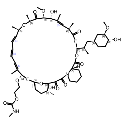 CNC(=O)OCCO[C@H]1C[C@@H]2CC[C@@H](C)[C@@](O)(O2)C(=O)C(=O)N2CCCC[C@H]2C(=O)O[C@H]([C@H](C)C[C@@H]2CC[C@@H](O)[C@H](OC)C2)CC(=O)[C@H](C)/C=C(\C)[C@@H](O)[C@@H](OC)C(=O)[C@H](C)C[C@H](C)/C=C/C=C/C=C/1C